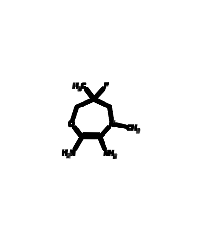 CN1CC(C)(F)COC(N)=C1N